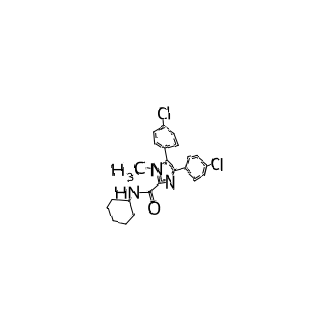 Cn1c(C(=O)NC2CCCCC2)nc(-c2ccc(Cl)cc2)c1-c1ccc(Cl)cc1